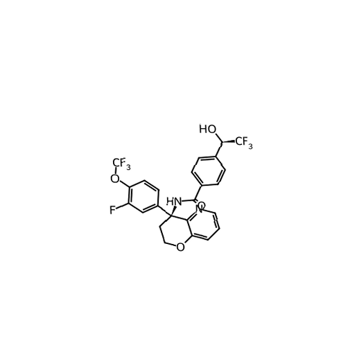 O=C(N[C@]1(c2ccc(OC(F)(F)F)c(F)c2)CCOc2cccnc21)c1ccc([C@@H](O)C(F)(F)F)cc1